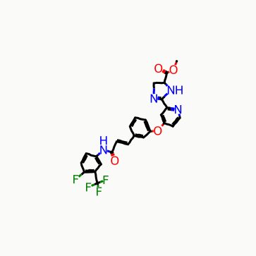 COC(=O)C1CN=C(c2cc(Oc3cccc(C=CC(=O)Nc4ccc(F)c(C(F)(F)F)c4)c3)ccn2)N1